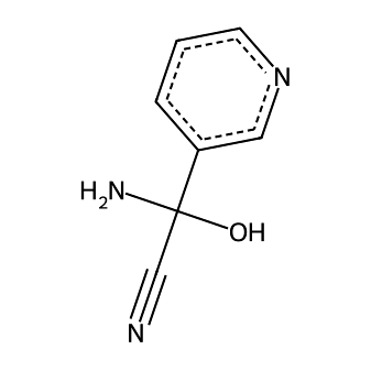 N#CC(N)(O)c1cccnc1